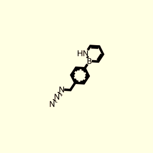 [N-]=[N+]=NCc1ccc(B2C=CC=CN2)cc1